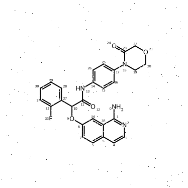 Nc1nccc2ccc(OC(C(=O)Nc3ccc(N4CCOCC4=O)cc3)c3ccccc3F)cc12